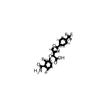 NC(=O)c1c(F)ccc(OC(C(=O)O)c2coc(-c3ccc(C(F)(F)F)cc3)n2)c1F